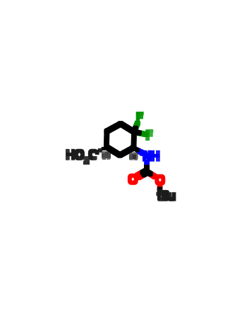 CC(C)(C)OC(=O)N[C@H]1C[C@H](C(=O)O)CCC1(F)F